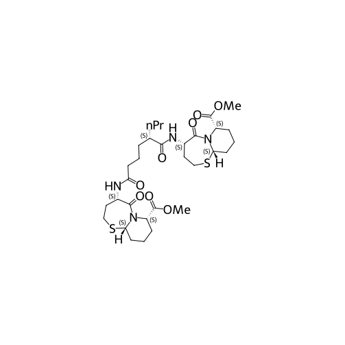 CCC[C@@H](CCCC(=O)N[C@H]1CCS[C@H]2CCC[C@@H](C(=O)OC)N2C1=O)C(=O)N[C@H]1CCS[C@H]2CCC[C@@H](C(=O)OC)N2C1=O